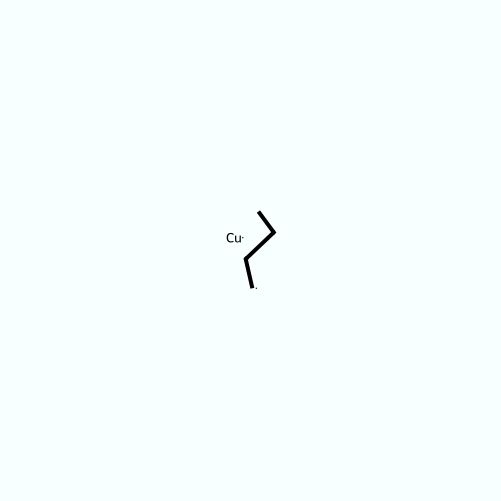 [CH2]CCC.[Cu]